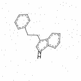 [CH](Cc1ccccc1)c1c[nH]c2ccccc12